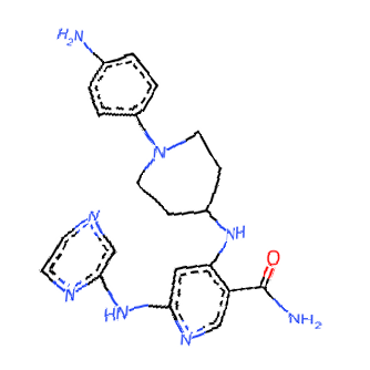 NC(=O)c1cnc(Nc2cnccn2)cc1NC1CCN(c2ccc(N)cc2)CC1